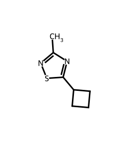 Cc1nsc(C2CCC2)n1